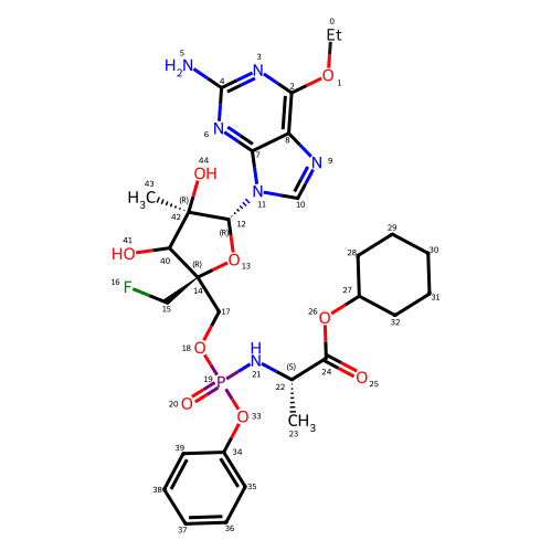 CCOc1nc(N)nc2c1ncn2[C@@H]1O[C@](CF)(COP(=O)(N[C@@H](C)C(=O)OC2CCCCC2)Oc2ccccc2)C(O)[C@@]1(C)O